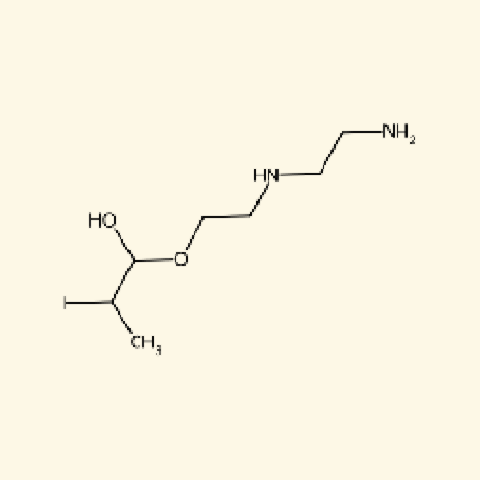 CC(I)C(O)OCCNCCN